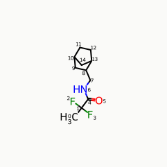 CC(F)(F)C(=O)NCC1CC2CCC1C2